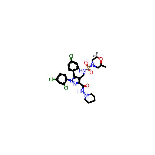 CC1CN(S(=O)(=O)NCc2c(C(=O)NN3CCCCC3)nn(-c3ccc(Cl)cc3Cl)c2-c2ccc(Cl)cc2)C[C@@H](C)O1